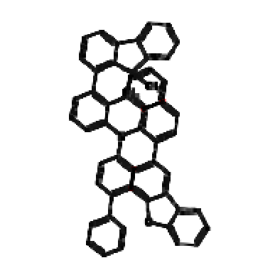 CC1(C)c2ccccc2-c2cccc(-c3cccc(N(c4ccc(-c5ccccc5)cc4)c4ccccc4-c4ccc5oc6ccccc6c5c4)c3-c3ccccc3)c21